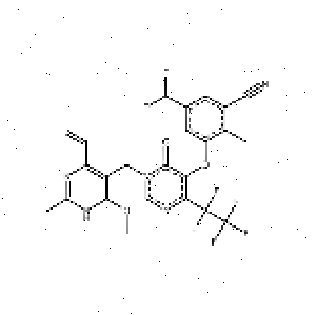 C=CC1=C(Cn2cnc(C(F)(F)C(F)(F)F)c(Oc3cc(C(F)F)cc(C#N)c3C)c2=O)C(OC)NC(C)=N1